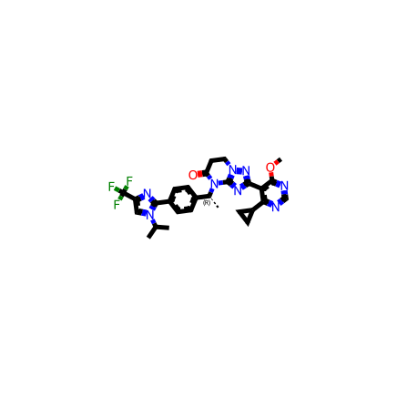 COc1ncnc(C2CC2)c1-c1nc2n(n1)CCC(=O)N2[C@H](C)c1ccc(-c2nc(C(F)(F)F)cn2C(C)C)cc1